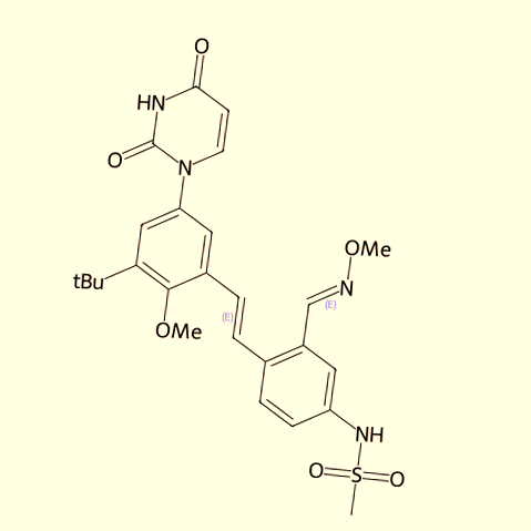 CO/N=C/c1cc(NS(C)(=O)=O)ccc1/C=C/c1cc(-n2ccc(=O)[nH]c2=O)cc(C(C)(C)C)c1OC